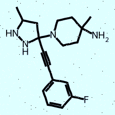 CC1CC(C#Cc2cccc(F)c2)(N2CCC(C)(N)CC2)NN1